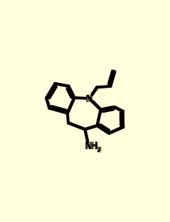 C=CCN1c2ccccc2CC(N)c2ccccc21